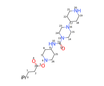 CC(C)CCC(=O)ON1CCC(NC(=O)N2CCN(C3CCNCC3)CC2)CC1